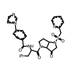 CC(C)CC(NC(=O)c1ccc(-n2ccnc2)cc1)C(=O)N1CCC2C1C(=O)CN2S(=O)(=O)Cc1ccccn1